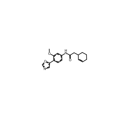 COc1cc(NC(=O)CC2C=CCCC2)ccc1-c1cnco1